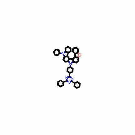 c1ccc(-c2nc(-c3ccccc3)nc(-c3ccc(-n4c5ccc6oc7ccccc7c6c5c5c6c7ccccc7n(-c7ccccc7)c6ccc54)cc3)n2)cc1